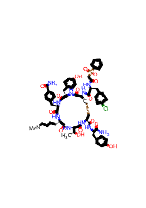 CNCCCC[C@@H]1NC(=O)[C@@H](Cc2ccc(C(N)=O)cc2)NC(=O)[C@H](Cc2ccc(O)cc2)NC(=O)[C@H](NC(=O)[C@H](Cc2ccc(Cl)cc2)NC(=O)CS(=O)(=O)c2ccccc2)CSSC[C@@H](C(=O)N[C@H](Cc2ccc(O)cc2)C(N)=O)NC(=O)[C@H]([C@@H](C)O)NC1=O